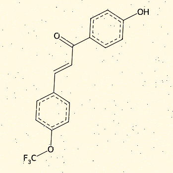 O=C(/C=C/c1ccc(OC(F)(F)F)cc1)c1ccc(O)cc1